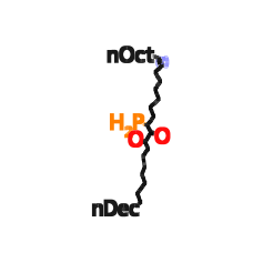 CCCCCCCC/C=C\CCCCCCC(P)C(=O)C(=O)CCCCCCCCCCCCCCCCC